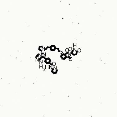 Nc1nccn2c([C@@H]3CCCN3CCc3ccc(CCSc4cccc5c4C(=O)N([C@H]4CCC(=O)NC4=O)C5=O)cc3)nc(-c3ccc(C(=O)Nc4ccccn4)cc3)c12